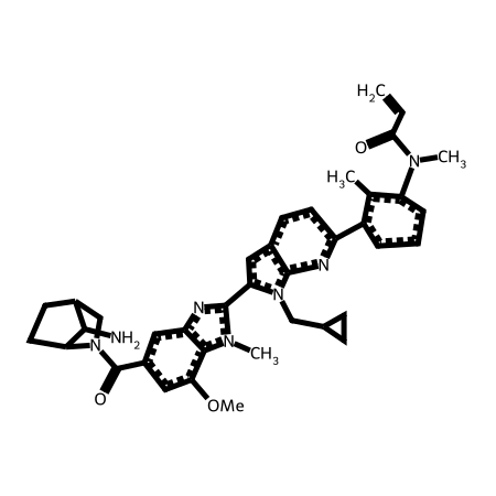 C=CC(=O)N(C)c1cccc(-c2ccc3cc(-c4nc5cc(C(=O)N6CC7CCC6C7N)cc(OC)c5n4C)n(CC4CC4)c3n2)c1C